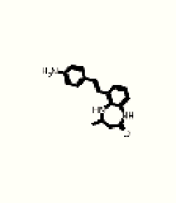 CC1CC(=O)Nc2cccc(C=Cc3ccc(N)cc3)c2N1